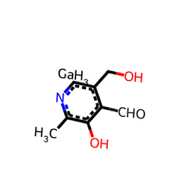 Cc1ncc(CO)c(C=O)c1O.[GaH3]